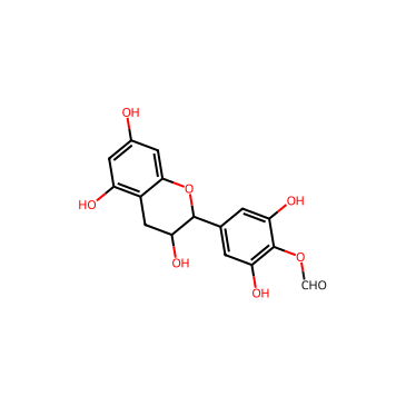 O=COc1c(O)cc(C2Oc3cc(O)cc(O)c3CC2O)cc1O